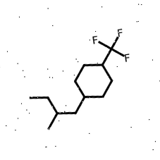 CCC(C)CC1CCC(C(F)(F)F)CC1